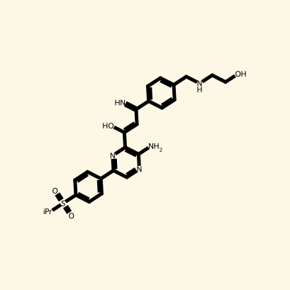 CC(C)S(=O)(=O)c1ccc(-c2cnc(N)c(/C(O)=C/C(=N)c3ccc(CNCCO)cc3)n2)cc1